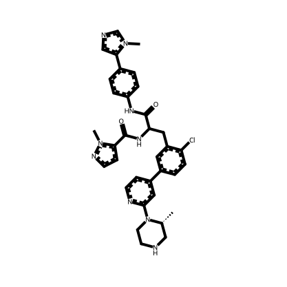 C[C@@H]1CNCCN1c1cc(-c2ccc(Cl)c(CC(NC(=O)c3ccnn3C)C(=O)Nc3ccc(-c4cncn4C)cc3)c2)ccn1